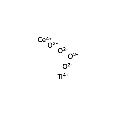 [Ce+4].[O-2].[O-2].[O-2].[O-2].[Ti+4]